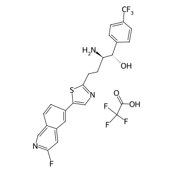 N[C@H](CCc1ncc(-c2ccc3cnc(F)cc3c2)s1)[C@@H](O)c1ccc(C(F)(F)F)cc1.O=C(O)C(F)(F)F